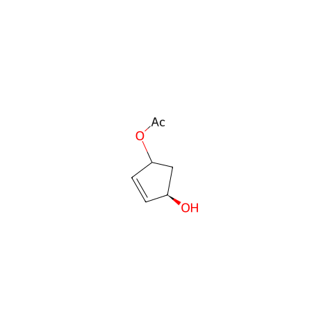 CC(=O)OC1C=C[C@H](O)C1